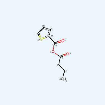 CCCC(=O)OC(=O)c1cccs1